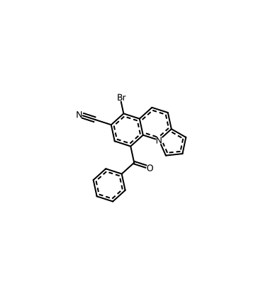 N#Cc1cc(C(=O)c2ccccc2)c2c(ccc3cccn32)c1Br